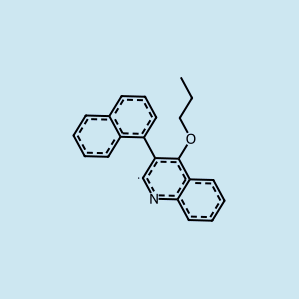 CCCOc1c(-c2cccc3ccccc23)[c]nc2ccccc12